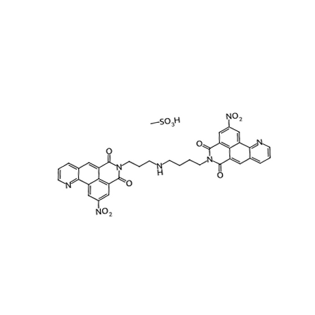 CS(=O)(=O)O.O=C1c2cc([N+](=O)[O-])cc3c2c(cc2cccnc23)C(=O)N1CCCCNCCCN1C(=O)c2cc([N+](=O)[O-])cc3c2c(cc2cccnc23)C1=O